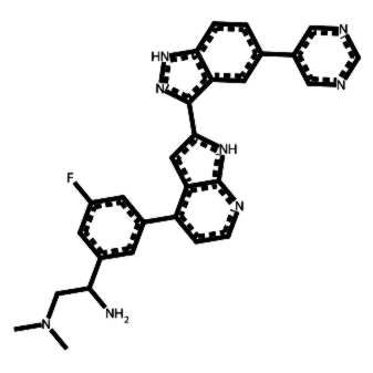 CN(C)CC(N)c1cc(F)cc(-c2ccnc3[nH]c(-c4n[nH]c5ccc(-c6cncnc6)cc45)cc23)c1